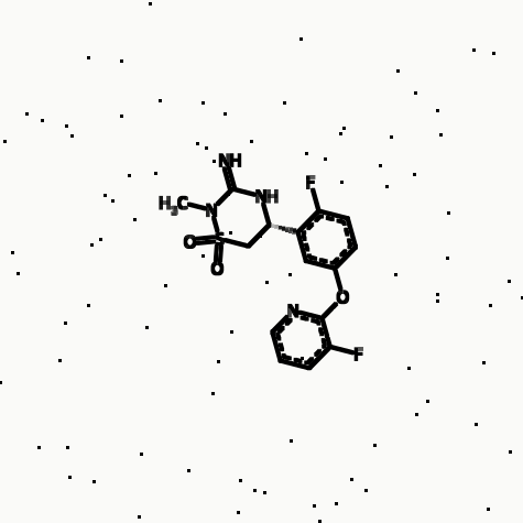 CN1C(=N)N[C@H](c2cc(Oc3ncccc3F)ccc2F)CS1(=O)=O